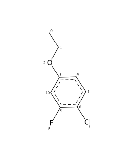 CCOc1ccc(Cl)c(F)c1